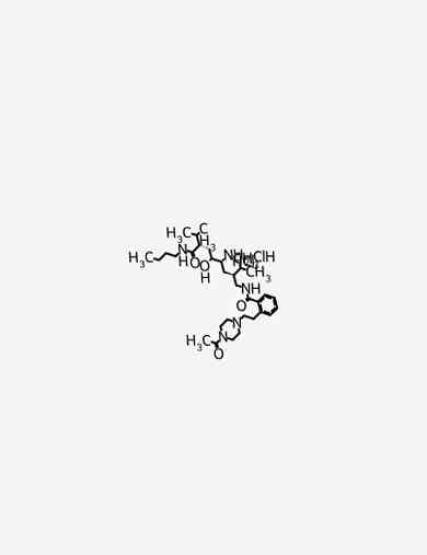 CCCCNC(=O)[C@@H](C[C@H](O)[C@@H](N)C[C@H](CNC(=O)c1ccccc1CCN1CCN(C(C)=O)CC1)C(C)C)C(C)C.Cl.Cl